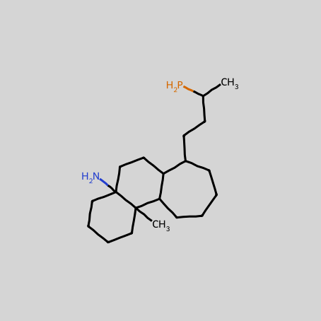 CC(P)CCC1CCCCC2C1CCC1(N)CCCCC21C